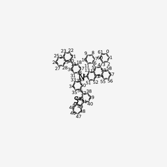 c1ccc(-c2c(-c3ccccc3)c3cc(N(c4ccc(-c5cccc6ccccc56)cc4)c4cccc(-c5cccc6c5sc5ccccc56)c4)ccc3c3ccccc23)cc1